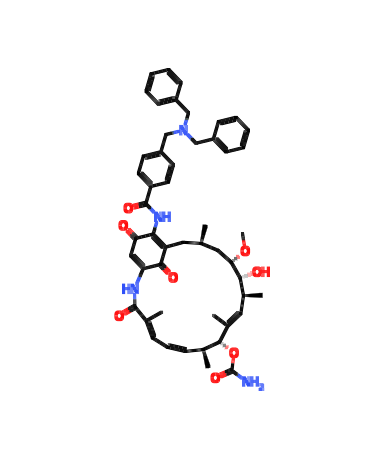 CO[C@H]1C[C@H](C)CC2=C(NC(=O)c3ccc(CN(Cc4ccccc4)Cc4ccccc4)cc3)C(=O)C=C(NC(=O)/C(C)=C/C=C\[C@H](C)[C@@H](OC(N)=O)/C(C)=C/[C@H](C)[C@H]1O)C2=O